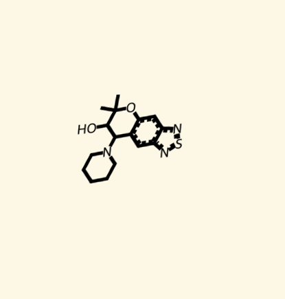 CC1(C)Oc2cc3nsnc3cc2C(N2CCCCC2)C1O